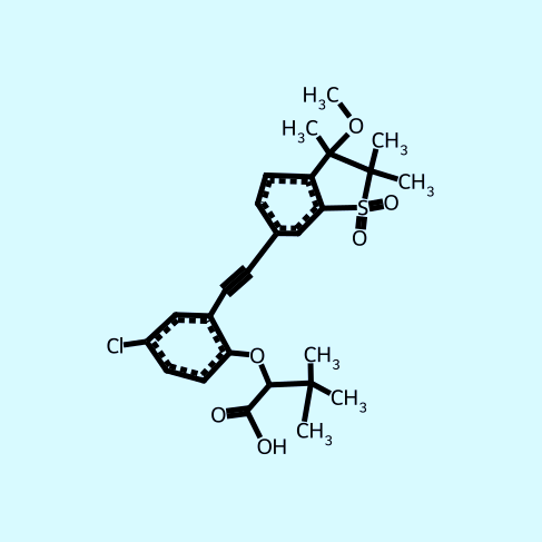 COC1(C)c2ccc(C#Cc3cc(Cl)ccc3OC(C(=O)O)C(C)(C)C)cc2S(=O)(=O)C1(C)C